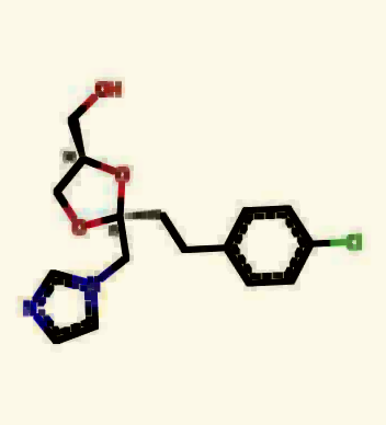 OC[C@@H]1CO[C@](CCc2ccc(Cl)cc2)(Cn2ccnc2)O1